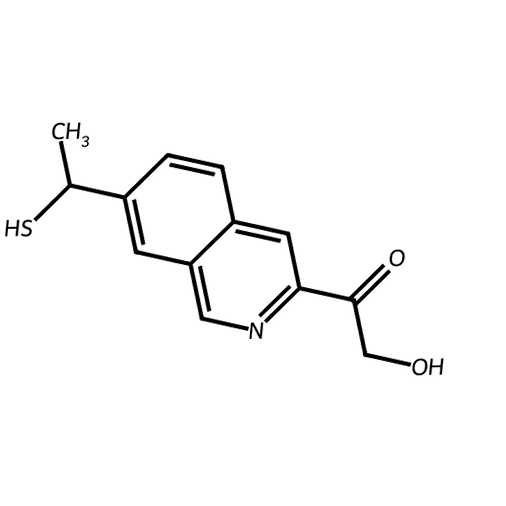 CC(S)c1ccc2cc(C(=O)CO)ncc2c1